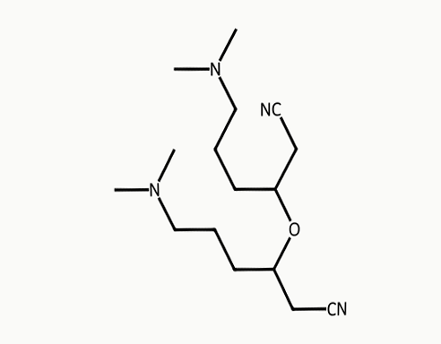 CN(C)CCCC(CC#N)OC(CC#N)CCCN(C)C